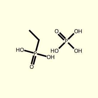 CCP(=O)(O)O.O=P(O)(O)O